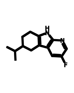 CC(C)C1CCc2[nH]c3ncc(F)cc3c2C1